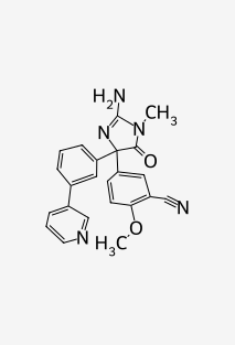 COc1ccc(C2(c3cccc(-c4cccnc4)c3)N=C(N)N(C)C2=O)cc1C#N